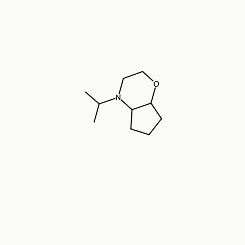 CC(C)N1CCOC2CCCC21